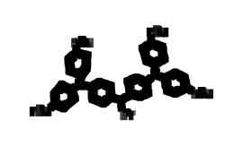 CCCCc1ccc(N(c2ccc(CCCC)cc2)c2ccc(C(c3ccc(N(c4ccc(CCCC)cc4)c4ccc(CCCC)cc4)cc3)C(C)C)cc2)cc1